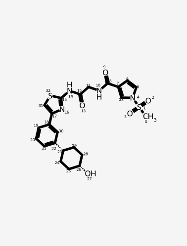 CS(=O)(=O)n1ccc(C(=O)NCC(=O)Nc2nc(-c3cccc([C@H]4CC[C@@H](O)CC4)c3)cs2)c1